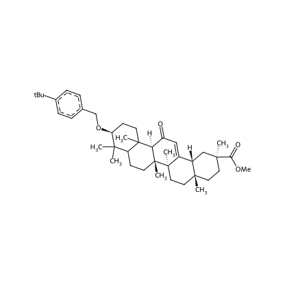 COC(=O)[C@@]1(C)CC[C@]2(C)CC[C@]3(C)C(=CC(=O)[C@@H]4C5(C)CC[C@H](OCc6ccc(C(C)(C)C)cc6)C(C)(C)C5CC[C@]43C)[C@@H]2C1